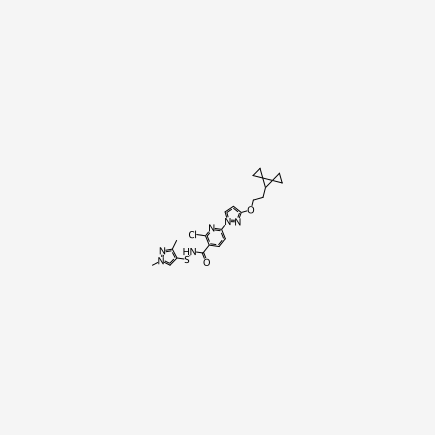 Cc1nn(C)cc1SNC(=O)c1ccc(-n2ccc(OCCC3C4(CC4)C34CC4)n2)nc1Cl